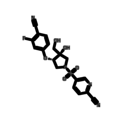 N#Cc1ccc(S(=O)(=O)N2C[C@H](Oc3ccc(C#N)c(F)c3)[C@](O)(CO)C2)cn1